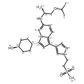 C[C@@H](COC(F)F)Nc1ncc2c(-c3cnn(CCS(C)(=O)=O)c3)cc([C@H]3CC[C@H](O)CC3)n2n1